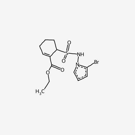 CCOC(=O)C1=CCCCC1S(=O)(=O)Nn1cccc1Br